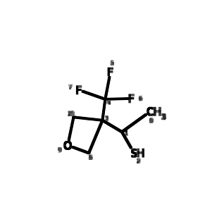 CC(S)C1(C(F)(F)F)COC1